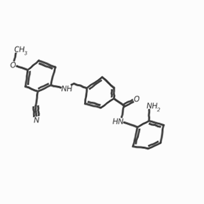 COc1ccc(NCc2ccc(C(=O)Nc3ccccc3N)cc2)c(C#N)c1